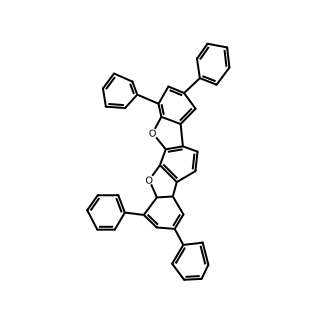 C1=C(c2ccccc2)C=C(c2ccccc2)C2Oc3c(ccc4c3oc3c(-c5ccccc5)cc(-c5ccccc5)cc34)C12